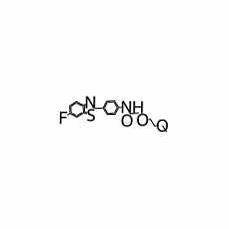 COCCOCC(=O)Nc1ccc(-c2nc3ccc(F)cc3s2)cc1